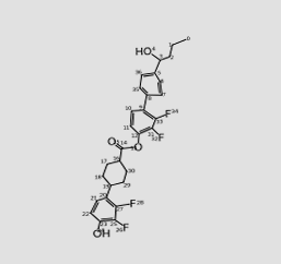 CCCC(O)c1ccc(-c2ccc(OC(=O)C3CCC(c4ccc(O)c(F)c4F)CC3)c(F)c2F)cc1